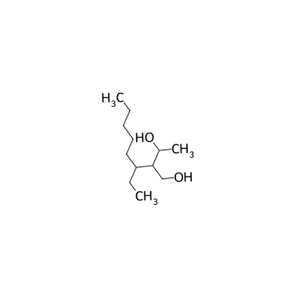 CCCCCC(CC)C(CO)C(C)O